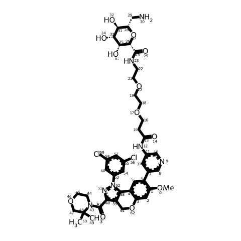 COc1cc2c(cc1-c1cncc(NC(=O)CCOCCOCCNC(=O)[C@H]3O[C@@H](CN)[C@H](O)[C@@H](O)[C@H]3O)c1)-c1c(c(C(=O)N3CCOCC3(C)C)nn1-c1cc(Cl)cc(Cl)c1)CO2